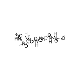 CCCN(CCCNC(=O)OC(C)(C)C)C(=O)C1=Cc2ccc(C(=O)Nc3ccc(N4CCC(C(=O)NCCNC(=O)CCC(C)(C)OCC)CC4)nc3)cc2N=C(N)C1